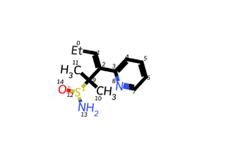 CCC=C(c1ccccn1)C(C)(C)[S+](N)[O-]